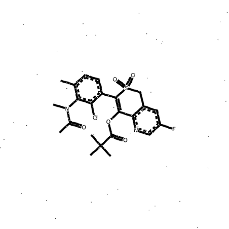 CC(=O)N(C)c1c(C)ccc(C2=C(OC(=O)C(C)(C)C)c3ncc(F)cc3CS2(=O)=O)c1Cl